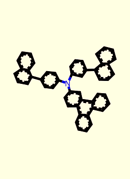 c1cc(-c2cccc3ccccc23)cc(N(c2ccc(-c3cccc4ccccc34)cc2)c2ccc3c4ccccc4c4ccccc4c3c2)c1